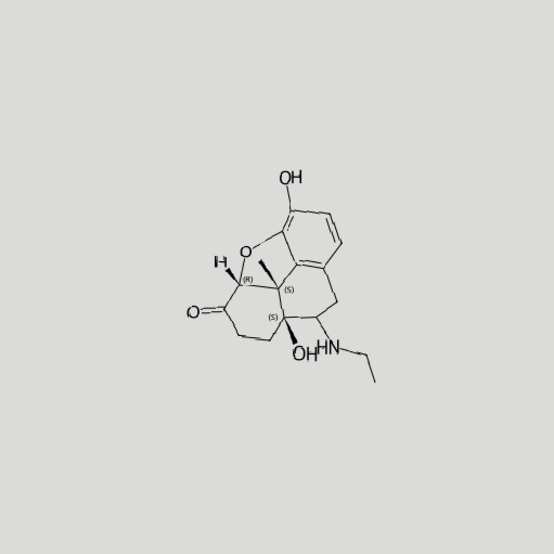 CCNC1Cc2ccc(O)c3c2[C@@]2(C)[C@@H](O3)C(=O)CC[C@@]12O